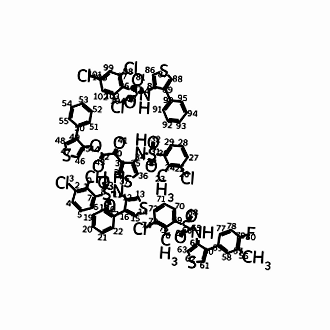 Cc1c(Cl)cccc1S(=O)(=O)Nc1cscc1-c1ccccc1.Cc1c(Cl)cccc1S(=O)(=O)Nc1cscc1C(=O)C(=O)Oc1cscc1-c1ccccc1.Cc1cc(-c2cscc2NS(=O)(=O)c2cccc(Cl)c2C)ccc1F.O=S(=O)(Nc1cscc1-c1ccccc1)c1c(Cl)cc(Cl)cc1Cl